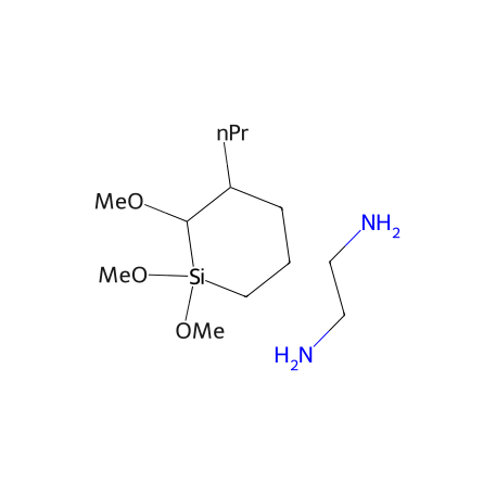 CCCC1CCC[Si](OC)(OC)C1OC.NCCN